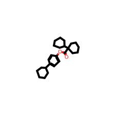 O=C(Oc1ccc(C2CCCCC2)cc1)C1(C2CCCCC2)CCCCC1